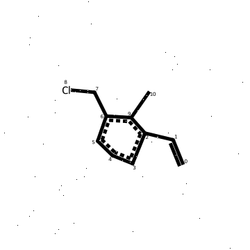 C=Cc1cccc(CCl)c1C